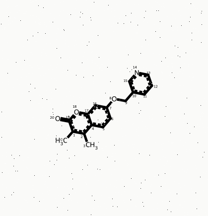 Cc1c(C)c2ccc(OCc3cccnc3)cc2oc1=O